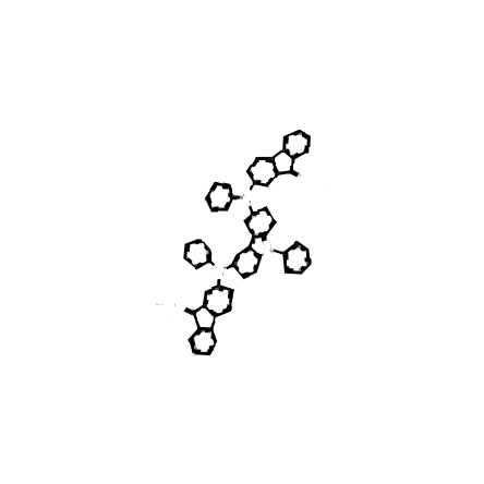 C=C1c2ccccc2-c2ccc(N(c3ccccc3)c3ccc4c(c3)c3cc(N(c5ccccc5)c5ccc6c(c5)C(=C)c5ccccc5-6)ccc3n4-c3ccccc3)cc21